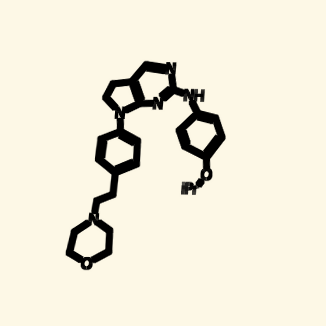 CC(C)Oc1ccc(Nc2ncc3c(n2)N(c2ccc(CCN4CCOCC4)cc2)CC3)cc1